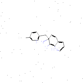 NC1=C2NC=CC=C2C=CC1(N)Cc1ccc(C(F)(F)F)cc1